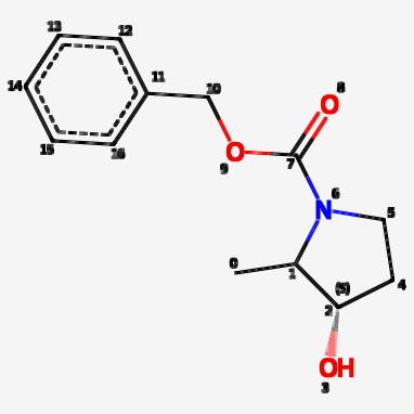 CC1[C@@H](O)CCN1C(=O)OCc1ccccc1